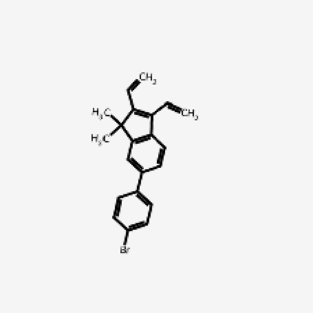 C=CC1=C(C=C)C(C)(C)c2cc(-c3ccc(Br)cc3)ccc21